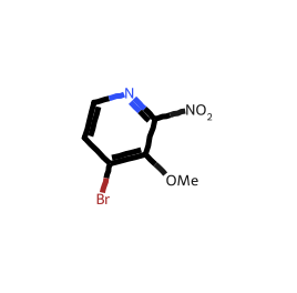 COc1c(Br)ccnc1[N+](=O)[O-]